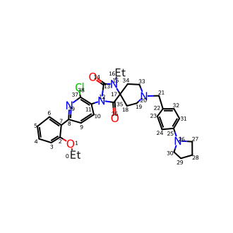 CCOc1ccccc1-c1ccc(N2C(=O)N(CC)C3(CCN(Cc4ccc(N5CCCC5)cc4)CC3)C2=O)c(Cl)n1